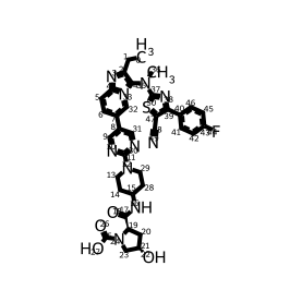 CCc1nc2ccc(-c3cnc(N4CCC(NC(=O)[C@H]5C[C@@H](O)CN5C(=O)O)CC4)nc3)cn2c1N(C)c1nc(-c2ccc(F)cc2)c(C#N)s1